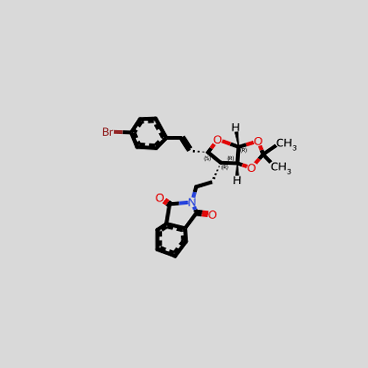 CC1(C)O[C@H]2O[C@@H](C=Cc3ccc(Br)cc3)[C@@H](CCN3C(=O)c4ccccc4C3=O)[C@H]2O1